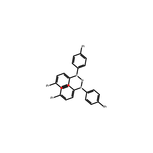 CC(C)c1ccc(P([N]P(c2ccc(C(C)C)cc2)c2ccc(C(C)C)cc2)c2ccc(C(C)C)cc2)cc1